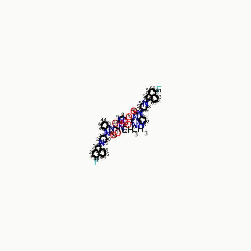 CNC(=O)[C@@H](OC(=O)/C=C\C(=O)O[C@H](C(=O)NC)n1c(=O)n(C2CCN(C3Cc4ccc(F)c5cccc3c45)CC2)c2ccccc21)n1c(=O)n(C2CCN(C3Cc4ccc(F)c5cccc3c45)CC2)c2ccccc21